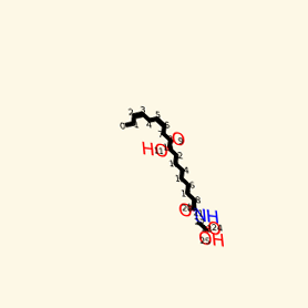 CC/C=C\C/C=C\CC(=O)C(O)CCCCCCCC(=O)NCC(=O)O